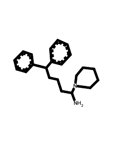 NC(CCCC(c1ccccc1)c1ccccc1)N1CCCCC1